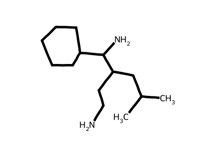 CC(C)CC(CCN)C(N)C1CCCCC1